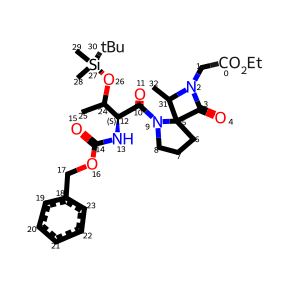 CCOC(=O)CN1C(=O)C2(CCCN2C(=O)[C@@H](NC(=O)OCc2ccccc2)C(C)O[Si](C)(C)C(C)(C)C)C1C